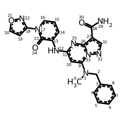 CN(Cc1ccccc1)c1cc(Nc2cccn(-c3ccon3)c2=O)nc2c(C(N)=O)cnn12